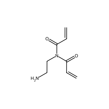 C=CC(=O)N(CCN)C(=O)C=C